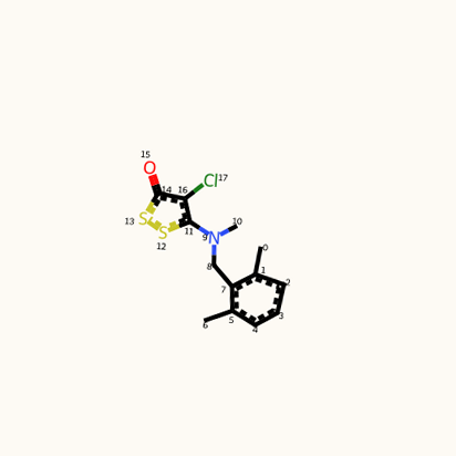 Cc1cccc(C)c1CN(C)c1ssc(=O)c1Cl